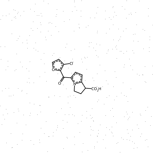 O=C(c1occc1Cl)c1ccc2n1CCC2C(=O)O